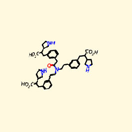 O=C(O)C(Cc1cccc(CCN(CCc2cccc(CC(C(=O)O)C3CCNC3)c2)C(=O)Cc2cccc(CC(C(=O)O)C3CCNC3)c2)c1)C1CCNC1